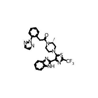 C[C@@H]1CN(c2sc(C(F)(F)F)nc2-c2nc3ccccc3[nH]2)CCN1C(=O)Cc1ccccc1-n1nccn1